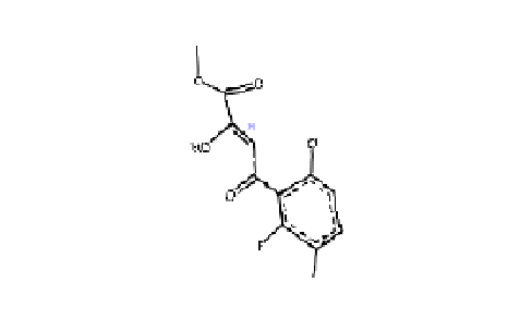 COC(=O)/C(O)=C/C(=O)c1c(Cl)ccc(C)c1F